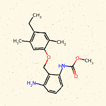 CCc1cc(C)c(OCc2c(N)cccc2NC(=O)OC)cc1C